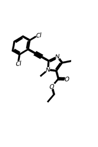 CCOC(=O)c1c(C)nc(C#Cc2c(Cl)cccc2Cl)n1C